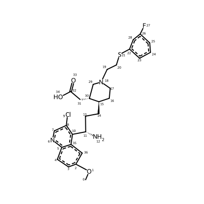 COc1ccc2ncc(Cl)c([C@@H](N)CC[C@@H]3CCN(CCSc4cccc(F)c4)C[C@H]3CC(=O)O)c2c1